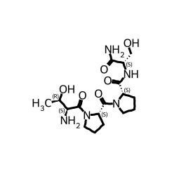 C[C@@H](O)[C@H](N)C(=O)N1CCC[C@H]1C(=O)N1CCC[C@H]1C(=O)N[C@@H](CO)C(N)=O